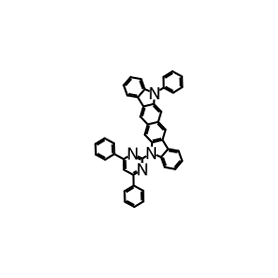 c1ccc(-c2cc(-c3ccccc3)nc(-n3c4ccccc4c4cc5cc6c(cc5cc43)c3ccccc3n6-c3ccccc3)n2)cc1